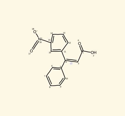 O=C(O)/C=C(/c1ccccc1)c1cccc([N+](=O)[O-])c1